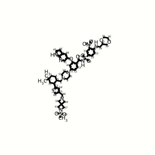 CC1(C)CCC(CN2CCN(c3ccc(C(=O)NS(=O)(=O)c4ccc(NCC5COCCO5)c([N+](=O)[O-])c4)c(Oc4cnc5[nH]ccc5c4)c3)CC2)C(c2cc(CN3CC4(C3)CN(S(C)(=O)=O)C4)cs2)C1